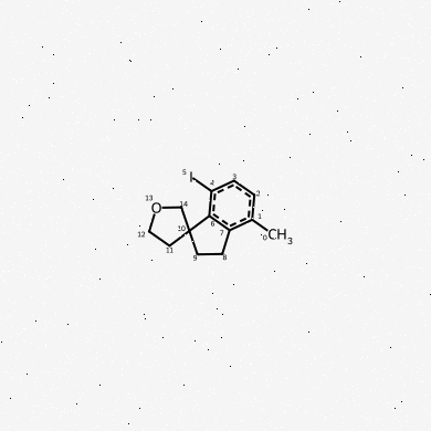 Cc1ccc(I)c2c1CCC21CCOC1